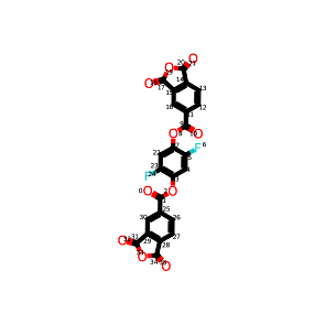 O=C(Oc1cc(F)c(OC(=O)c2ccc3c(c2)C(=O)OC3=O)cc1F)c1ccc2c(c1)C(=O)OC2=O